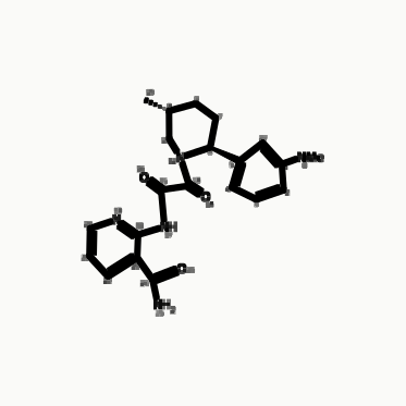 CNc1cccc([C@@H]2CC[C@@H](C)CN2C(=O)C(=O)Nc2ncccc2C(N)=O)c1